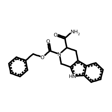 NC(=O)C1Cc2c([nH]c3ccccc23)CN1C(=O)OCc1ccccc1